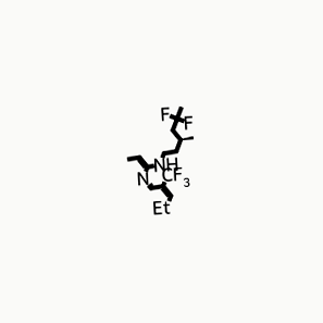 C\C=C(/N=C\C(=C/CC)C(F)(F)F)NCC[C@H](C)CC(C)(F)F